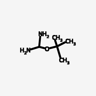 CC(C)(C)OC(N)N